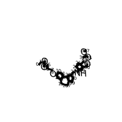 CCS(=O)(=O)CCCOc1ccc2c(c1)CCCc1ccc(CNc3ccc4c(c3)CO[C@H]4CC(=O)OC)cc1-2